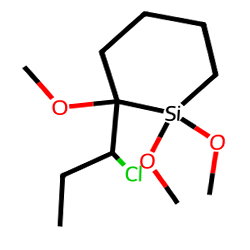 CCC(Cl)C1(OC)CCCC[Si]1(OC)OC